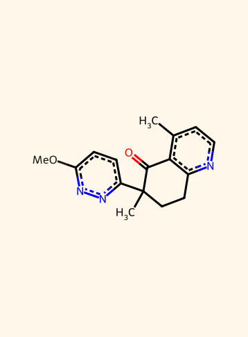 COc1ccc(C2(C)CCc3nccc(C)c3C2=O)nn1